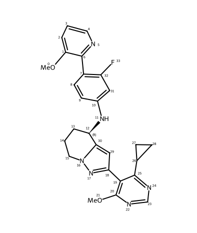 COc1cccnc1-c1ccc(N[C@@H]2CCCn3nc(-c4c(OC)ncnc4C4CC4)cc32)cc1F